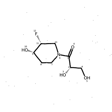 O=C([C@@H](O)CO)N1CC[C@H](O)[C@H](F)C1